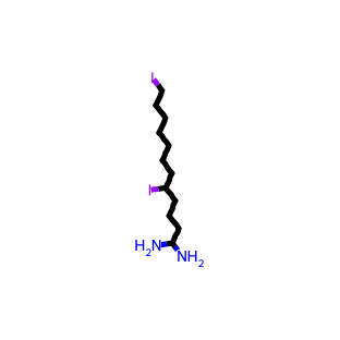 NC(N)CCCC(I)CCCCCCCI